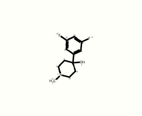 CN1CCC(O)(c2cc(F)cc(F)c2)CC1